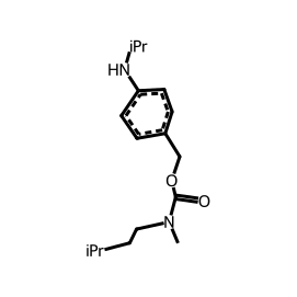 CC(C)CCN(C)C(=O)OCc1ccc(NC(C)C)cc1